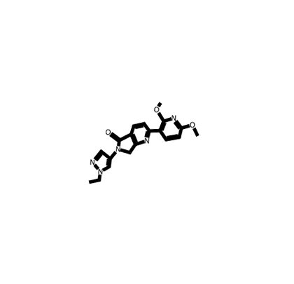 CCn1cc(N2Cc3nc(-c4ccc(OC)nc4OC)ccc3C2=O)cn1